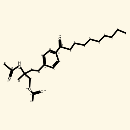 CCCCCCCCCC(=O)c1ccc(CCC(C)(COC(C)=O)NC(C)=O)cc1